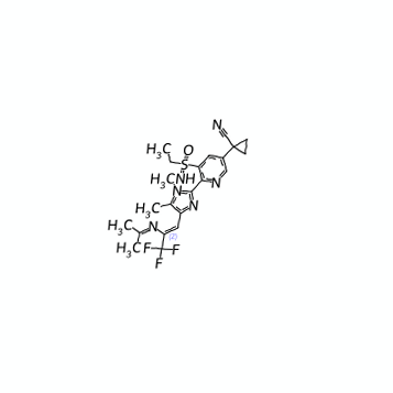 CCS(=N)(=O)c1cc(C2(C#N)CC2)cnc1-c1nc(/C=C(\N=C(C)C)C(F)(F)F)c(C)n1C